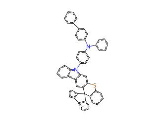 c1ccc(-c2ccc(N(c3ccccc3)c3ccc(-n4c5ccccc5c5cc6c(cc54)Sc4ccccc4C64c5ccccc5-c5ccccc54)cc3)cc2)cc1